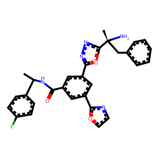 CC(NC(=O)c1cc(-c2ncco2)cc(-c2nnc([C@](C)(N)Cc3ccccc3)o2)c1)c1ccc(F)cc1